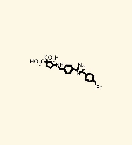 CC(C)Cc1ccc(-c2nc(-c3ccc(CNC4CCC(C(=O)O)(C(=O)O)C4)cc3)no2)cc1